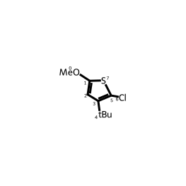 COc1cc(C(C)(C)C)c(Cl)s1